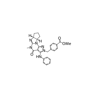 COC(=O)c1ccc(Cn2nc3c(c2Nc2ccccc2)C(=O)N(C)C2=N[C@@H]4CCC[C@@H]4N23)cc1